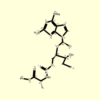 CC[C@@H](O[C@H](CO[PH](=S)N[C@H](C)C(=O)OC(C)C)[C@@H](O)CF)n1cnc2c(NC)nc(N)nc21